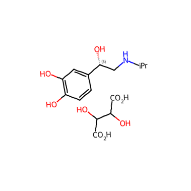 CC(C)NC[C@@H](O)c1ccc(O)c(O)c1.O=C(O)C(O)C(O)C(=O)O